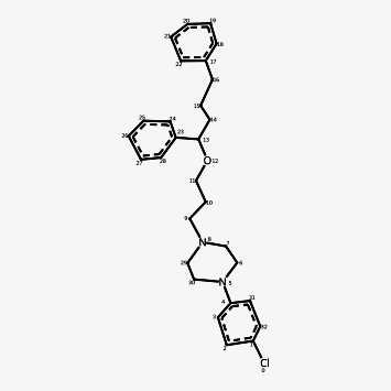 Clc1ccc(N2CCN(CCCOC(CCCc3ccccc3)c3ccccc3)CC2)cc1